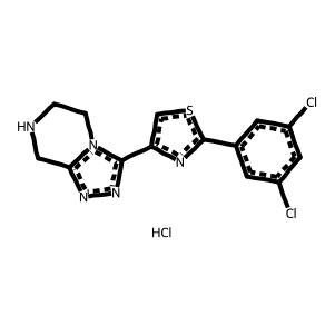 Cl.Clc1cc(Cl)cc(-c2nc(-c3nnc4n3CCNC4)cs2)c1